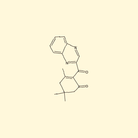 CC1=C(C(=O)c2cnc3ccccc3n2)C(=O)CC(C)(C)C1